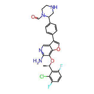 C[C@@H](Oc1c(N)ncc2c(-c3ccc(C4CNCCN4C=O)cc3)coc12)c1c(F)ccc(F)c1Cl